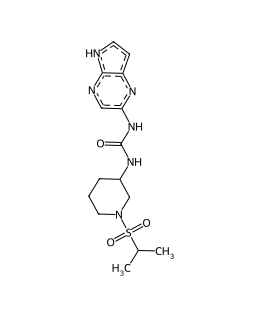 CC(C)S(=O)(=O)N1CCCC(NC(=O)Nc2cnc3[nH]ccc3n2)C1